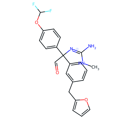 CN/C(N)=N\C(C=O)(c1ccc(OC(F)F)cc1)c1cccc(Cc2ccco2)c1